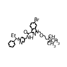 CCC(c1ccccc1)n1cc(NC(=O)c2nn(COCC[Si](C)(C)C)c3cc(Br)ccc23)cn1